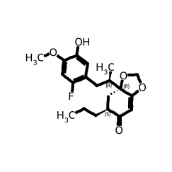 CCC[C@H]1C[C@]2([C@H](C)Cc3cc(O)c(OC)cc3F)OCOC2=CC1=O